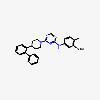 CC(=O)Nc1cc(Nc2ncnc(N3CCC(c4ccccc4-c4ccccc4)CC3)n2)ccc1C